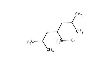 CC(C)CC(CC(C)C)[SiH2]Cl